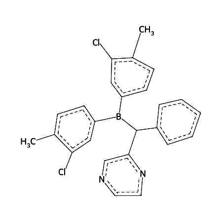 Cc1ccc(B(c2ccc(C)c(Cl)c2)C(c2ccccc2)c2cnccn2)cc1Cl